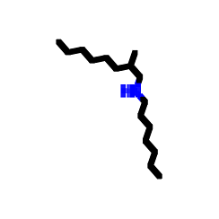 CCCCCCCNCC(C)CCCCCC